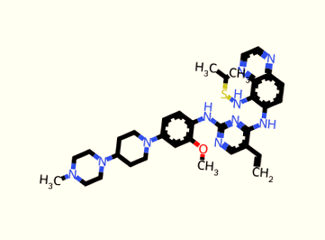 C=Cc1cnc(Nc2ccc(N3CCC(N4CCN(C)CC4)CC3)cc2OC)nc1Nc1ccc2nccnc2c1NSC(C)C